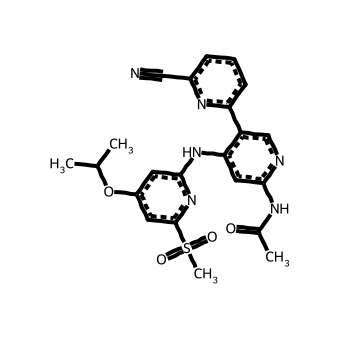 CC(=O)Nc1cc(Nc2cc(OC(C)C)cc(S(C)(=O)=O)n2)c(-c2cccc(C#N)n2)cn1